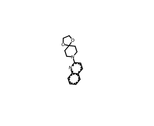 c1ccc2nc(N3CCC4(CC3)OCCO4)ccc2c1